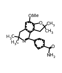 COc1cc2c(c3c1OC(C)(C)C3)C(c1ccc(C(N)=O)cc1)=NC(C)(C)C2